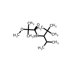 COC(C)(C)C(=O)NC(C(C)C)C(C)(C)C